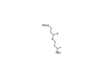 CCCCC(C)CCSC([S])CCC(C)CCC